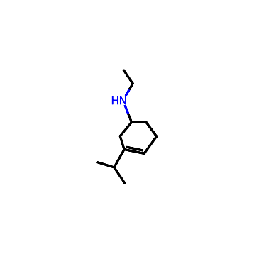 CCNC1CCC=C(C(C)C)C1